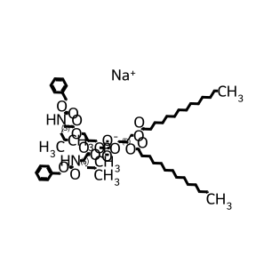 CCCCCCCCCCCCCC(=O)OC[C@H](COP(=O)([O-])OCC(COC(=O)[C@H](CC(C)C)NC(=O)OCc1ccccc1)OC(=O)[C@H](CC(C)C)NC(=O)OCc1ccccc1)OC(=O)CCCCCCCCCCCCC.[Na+]